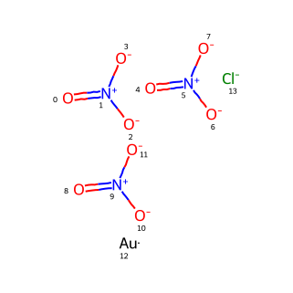 O=[N+]([O-])[O-].O=[N+]([O-])[O-].O=[N+]([O-])[O-].[Au].[Cl-]